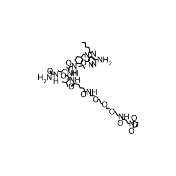 CCCCc1nc2c(N)nnc(OC(C)C)c2n1CC1CCC(NC(=O)[C@H](CCCNC(N)=O)NC(=O)[C@@H](NC(=O)CCCC(=O)NCCOCCOCCOCCNC(=O)CCN2C(=O)C=CC2=O)C(C)C)CC1